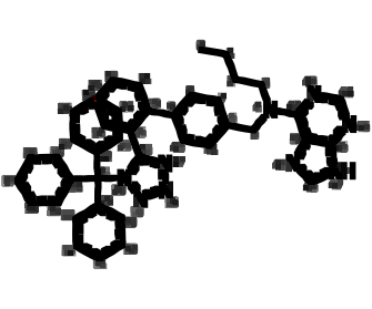 CCCCN(Cc1ccc(-c2ccccc2-c2nnnn2C(c2ccccc2)(c2ccccc2)c2ccccc2)cc1)c1ncnc2[nH]cnc12